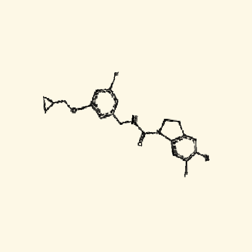 O=C(NCc1cc(F)cc(OCC2CC2)c1)N1CCc2cc(Br)c(F)cc21